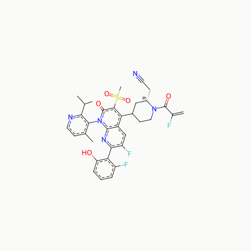 C=C(F)C(=O)N1CCC(c2c(S(C)(=O)=O)c(=O)n(-c3c(C)ccnc3C(C)C)c3nc(-c4c(O)cccc4F)c(F)cc23)C[C@@H]1CC#N